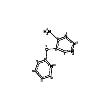 Nc1nnncc1Oc1ccccn1